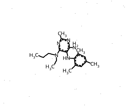 CCCN(CC)c1nc(C)nc(N)c1Nc1c(C)cc(C)cc1C